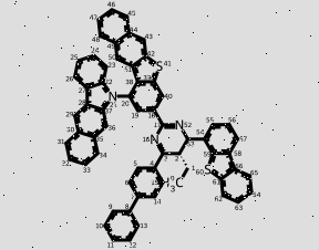 CC[C@@H]1C(c2ccc(-c3ccccc3)cc2)=NC(c2cc(-n3c4ccccc4c4cc5ccccc5cc43)c3c(c2)sc2cc4ccccc4cc23)=NC1c1cccc2c1sc1ccccc12